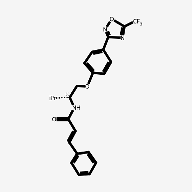 CC(C)[C@H](COc1ccc(-c2noc(C(F)(F)F)n2)cc1)NC(=O)C=Cc1ccccc1